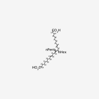 CCCCCCC(CC=CCCCCCCCC(=O)O)C(=CCC=CCCCCCCCC(=O)O)CCCCC